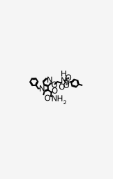 Cc1ccc(S(=O)(=O)NC(=O)COc2nccc3c2c(C(=O)C(N)=O)c(C)n3Cc2ccccc2)cc1